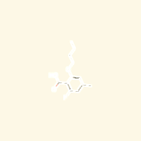 CCCCOc1cc(C)cc(F)c1C(=O)O